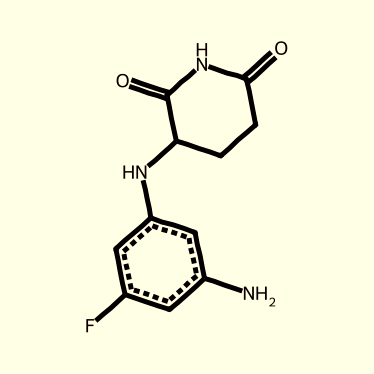 Nc1cc(F)cc(NC2CCC(=O)NC2=O)c1